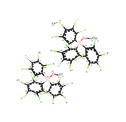 CCCCCCCCO[B-](c1c(F)c(F)c(F)c(F)c1F)(c1c(F)c(F)c(F)c(F)c1F)c1c(F)c(F)c(F)c(F)c1F.CCCCCCCCO[B-](c1c(F)c(F)c(F)c(F)c1F)(c1c(F)c(F)c(F)c(F)c1F)c1c(F)c(F)c(F)c(F)c1F.[Ca+2]